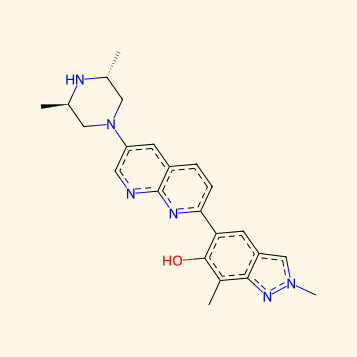 Cc1c(O)c(-c2ccc3cc(N4C[C@@H](C)N[C@H](C)C4)cnc3n2)cc2cn(C)nc12